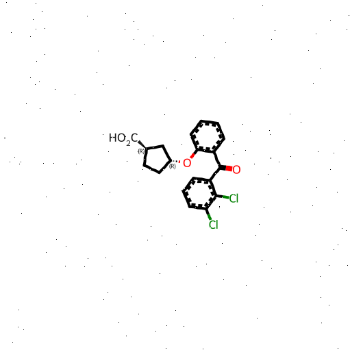 O=C(c1ccccc1O[C@@H]1CC[C@@H](C(=O)O)C1)c1cccc(Cl)c1Cl